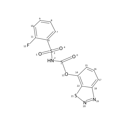 O=C(NS(=O)(=O)c1ccccc1F)Oc1cccc2nnsc12